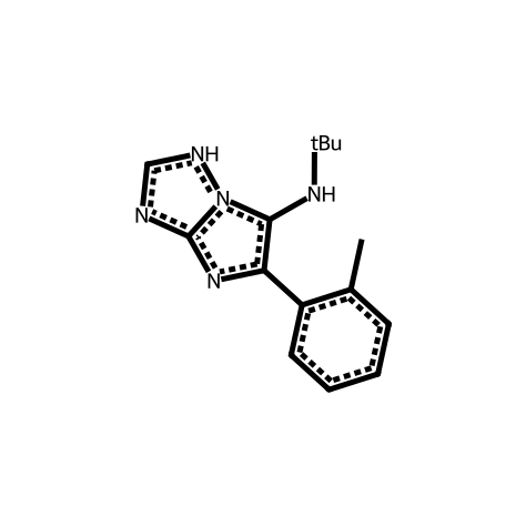 Cc1ccccc1-c1nc2nc[nH]n2c1NC(C)(C)C